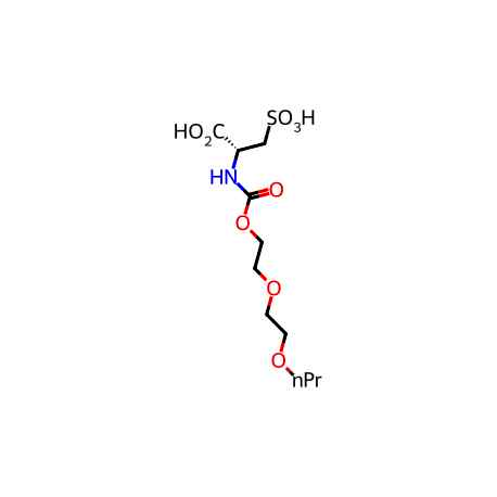 CCCOCCOCCOC(=O)N[C@@H](CS(=O)(=O)O)C(=O)O